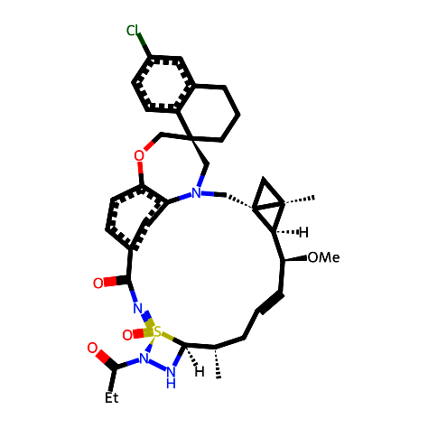 CCC(=O)N1N[C@@H]2[C@@H](C)C/C=C/[C@H](OC)[C@H]3[C@@]4(CN5C[C@@]6(CCCc7cc(Cl)ccc76)COc6ccc(cc65)C(=O)N=[S@@]21=O)C[C@@]34C